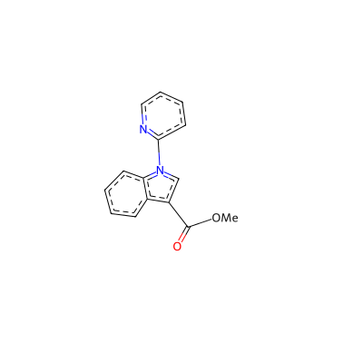 COC(=O)c1cn(-c2ccccn2)c2ccccc12